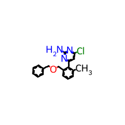 Cc1cccc(COCc2ccccc2)c1-c1cc(Cl)nc(N)n1